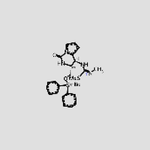 CCCC[Si](OC[C@@H]1NC(=O)n2cccc2[C@H]1N/C(=N\C)SC)(c1ccccc1)c1ccccc1